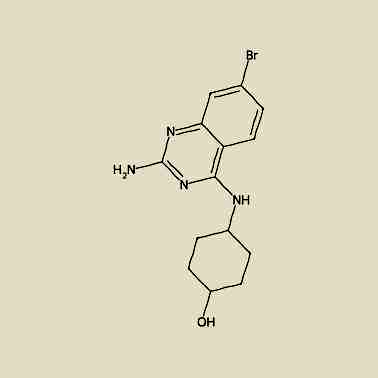 Nc1nc(NC2CCC(O)CC2)c2ccc(Br)cc2n1